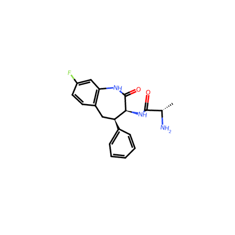 C[C@H](N)C(=O)N[C@@H]1C(=O)Nc2cc(F)ccc2C[C@@H]1c1ccccc1